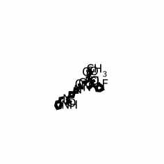 CS(=O)(=O)CCn1c(=O)c(-c2cccc(F)c2Cl)cn(CC(=O)N2CC3(CC(N4CCc5ccccc5NC4=O)C3)C2)c1=O